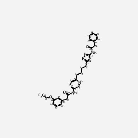 C=C(/N=N\C(=C/C)CCCCc1nnc(NC(=O)Cc2ccccc2)s1)NC(=O)Cc1cccc(OCC(F)(F)F)c1